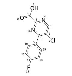 O=C(O)c1ncc(Cl)c(-c2ccc(F)cc2)n1